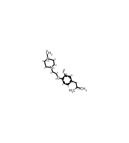 CC(C)Cc1ccc(OCCN2CCN(C)CC2)c(F)c1